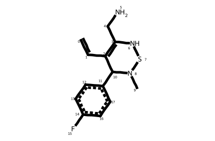 C=CC1=C(CN)NSN(C)C1c1ccc(F)cc1